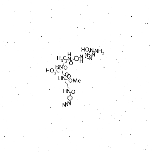 COC(=O)[C@H](CCCCNC(=O)c1ccc(N=[N+]=[N-])cc1)NC(=O)CCC(NC(=O)CC[C@@H](C)NC(=O)c1ccc(NCc2cnc3nc(N)nc(O)c3n2)cc1)C(=O)O